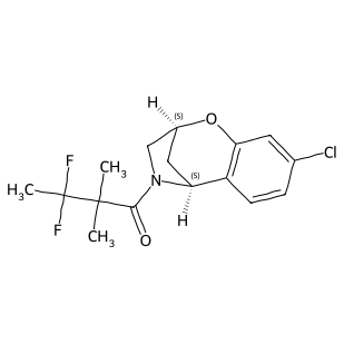 CC(F)(F)C(C)(C)C(=O)N1C[C@@H]2C[C@H]1c1ccc(Cl)cc1O2